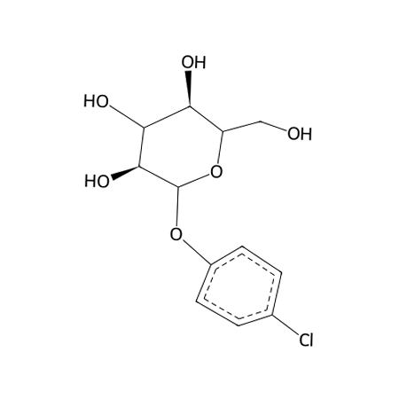 OCC1OC(Oc2ccc(Cl)cc2)[C@@H](O)C(O)[C@H]1O